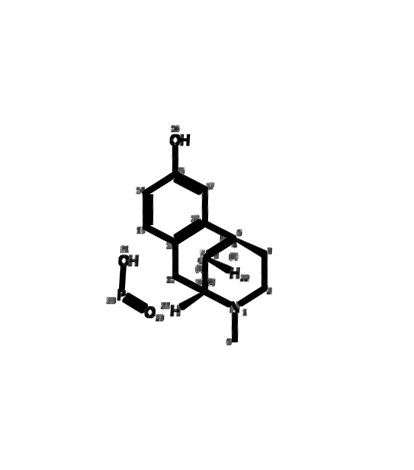 CN1CC[C@]23CCCC[C@H]2[C@H]1Cc1ccc(O)cc13.O=PO